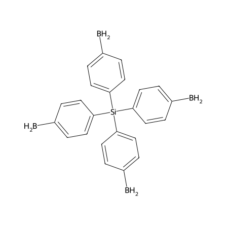 Bc1ccc([Si](c2ccc(B)cc2)(c2ccc(B)cc2)c2ccc(B)cc2)cc1